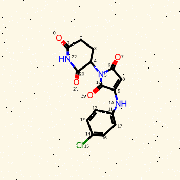 O=C1CCC(N2C(=O)C=C(Nc3ccc(Cl)cc3)C2=O)C(=O)N1